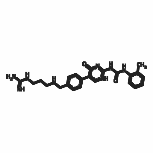 Cc1ccccc1NC(=O)Nc1nc(=O)c(-c2ccc(CNCCCNC(=N)N)cc2)c[nH]1